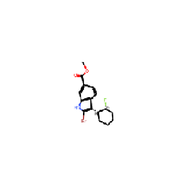 COC(=O)c1ccc2c([C@H]3CCCC[C@@H]3F)c(Br)[nH]c2c1